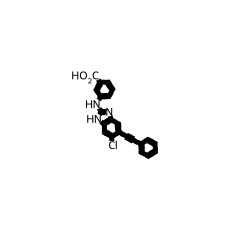 O=C(O)c1cccc(Nc2nc3cc(C#Cc4ccccc4)c(Cl)cc3[nH]2)c1